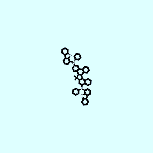 CC1(C)c2cc(N(c3ccccc3)c3cccc4c3oc3ccccc34)c3ccccc3c2-c2c1c1ccc(N(c3ccccc3)c3cccc4c3oc3ccccc34)cc1c1ccccc21